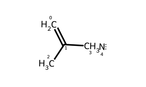 C=C(C)C.[N]